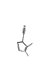 CC1=C(C)C(C#N)C=C1